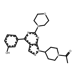 CC(=O)N1CCC(n2ncc3c(-c4cccc(O)c4)nc(N4CCOCC4)nc32)CC1